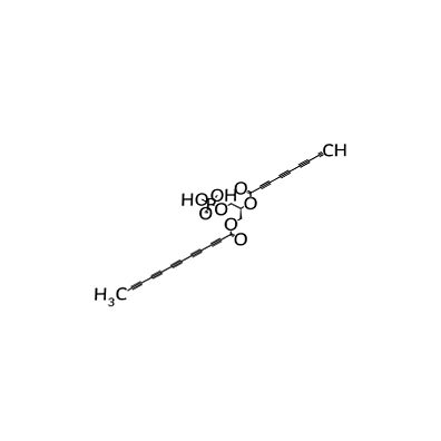 C#CC#CC#CC#CC(=O)O[C@@H](COC(=O)C#CC#CC#CC#CC#CC)COP(=O)(O)O